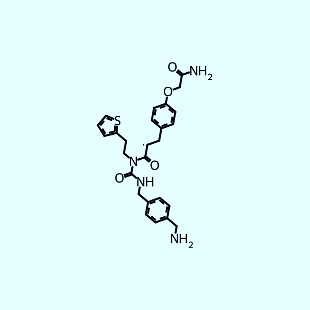 NCc1ccc(CNC(=O)N(CCc2cccs2)C(=O)[CH]Cc2ccc(OCC(N)=O)cc2)cc1